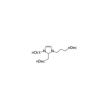 CCCCCCCCCCCCCN1C=CN(CCCCCCCC)C1CCCCCCCCCCC